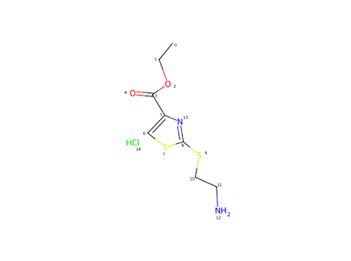 CCOC(=O)c1csc(SCCN)n1.Cl